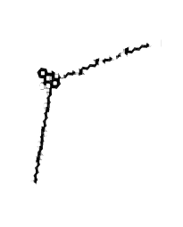 O=C(CCCCC(=O)OCCOCCOC(=O)CCCCCO)OCCCNc1ccc(NCCCOC(=O)CCCCC(=O)OCCOCCOC(=O)CCCCCO)c2c1C(=O)c1ccccc1C2=O